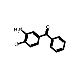 Nc1cc(C(=O)c2ccccc2)ccc1Cl